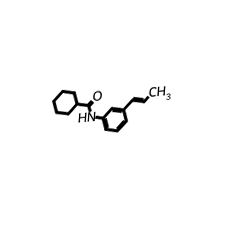 C/C=C/c1cccc(NC(=O)C2CCCCC2)c1